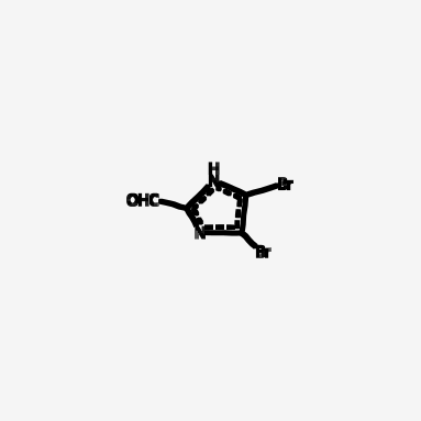 O=Cc1nc(Br)c(Br)[nH]1